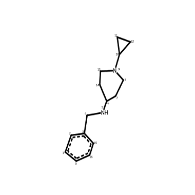 c1ccc(CNC2CCN(C3CC3)CC2)cc1